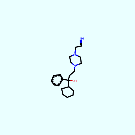 N=CCN1CCN(CCC(O)(c2ccccc2)C2CCCCC2)CC1